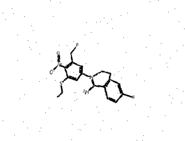 [2H]C1c2ccc(F)cc2CCN1c1cc(CF)c([N+](=O)[O-])c(SCC)c1